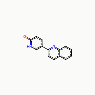 O=c1ccc(-c2ccc3ccccc3n2)c[nH]1